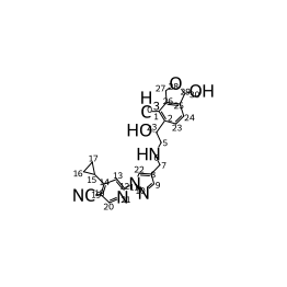 Cc1c([C@@H](O)CNCc2cnn(-c3cc(C4CC4)c(C#N)cn3)c2)ccc2c1COC2O